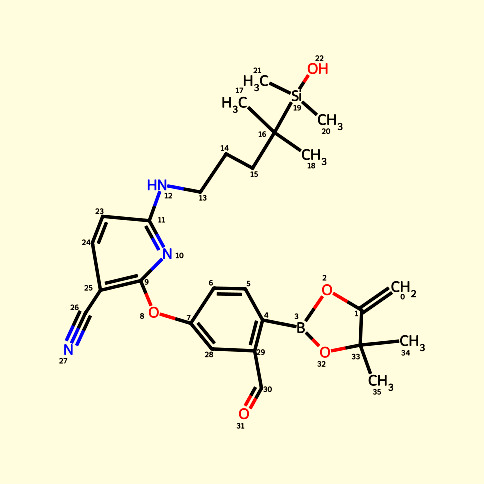 C=C1OB(c2ccc(Oc3nc(NCCCC(C)(C)[Si](C)(C)O)ccc3C#N)cc2C=O)OC1(C)C